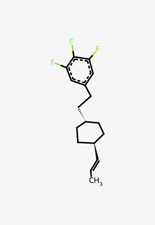 C/C=C/[C@H]1CC[C@H](CCc2cc(F)c(F)c(F)c2)CC1